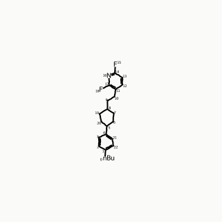 CCCCc1ccc(C2CCC(CCc3ccc(F)nc3F)CC2)cc1